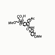 COCCN(CCC(=O)O)S(=O)(=O)c1ccc2c(c1)C1(CCN(C(C)=O)C1)CN2C(=O)Nc1nc2ccc(OC)nc2s1